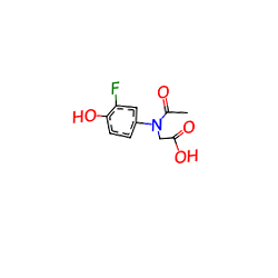 CC(=O)N(CC(=O)O)c1ccc(O)c(F)c1